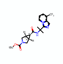 CC(C)(C)OC(=O)N1C[C@@H]2[C@H](C1)[C@H]2C(=O)NC(C)(C)c1ncc2c(C(F)(F)F)cccn12